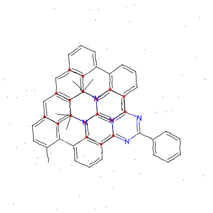 Cc1ccccc1-c1cccc(-c2nc(-c3ccccc3)nc(-c3cccc(-c4ccccc4)c3N3c4ccccc4C(C)(C)c4ccccc43)n2)c1N1c2ccccc2C(C)(C)c2ccccc21